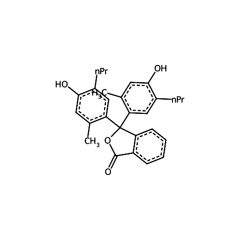 CCCc1cc(C2(c3cc(CCC)c(O)cc3C)OC(=O)c3ccccc32)c(C)cc1O